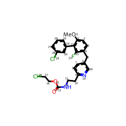 COc1ccc(Cc2ccc(CCNC(=O)OCCCl)nc2)c(F)c1-c1cccc(Cl)c1